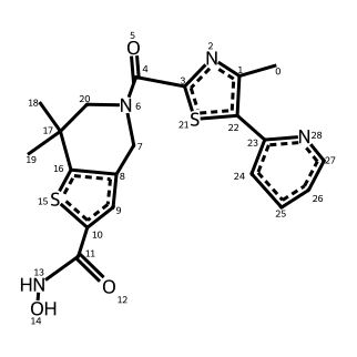 Cc1nc(C(=O)N2Cc3cc(C(=O)NO)sc3C(C)(C)C2)sc1-c1ccccn1